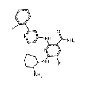 NC(=O)c1cc(F)c(NC2CCCCC2N)nc1Nc1ccnc(-c2ccccc2F)c1